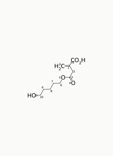 C=C(CC(=O)OCCCCCO)C(=O)O